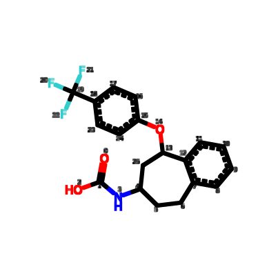 O=C(O)NC1CCc2ccccc2C(Oc2ccc(C(F)(F)F)cc2)C1